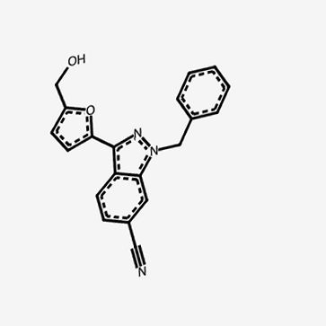 N#Cc1ccc2c(-c3ccc(CO)o3)nn(Cc3ccccc3)c2c1